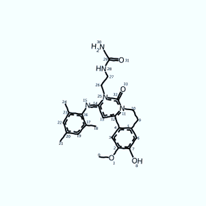 COc1cc2c(cc1O)CCn1c-2cc(=Nc2c(C)cc(C)cc2C)n(CCNC(N)=O)c1=O